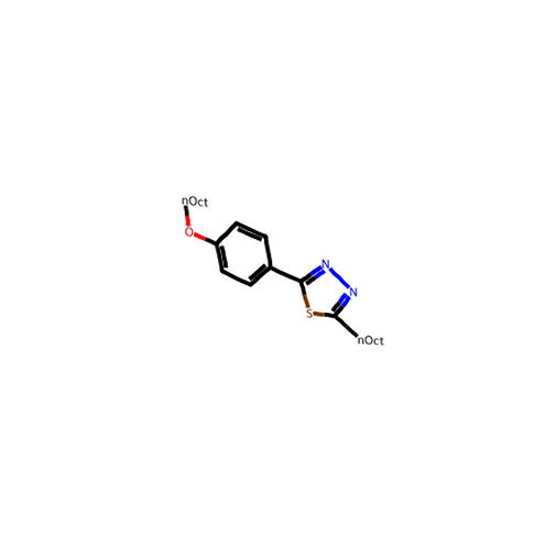 CCCCCCCCOc1ccc(-c2nnc(CCCCCCCC)s2)cc1